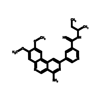 CCC(C)NC(=N)c1cncc(-c2cc3c(cnc4cc(OC)c(OC)cc43)c(N)n2)c1